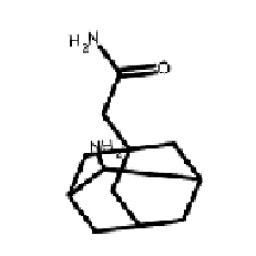 NC(=O)CC12CC3CC(C1)C(N)C(C3)C2